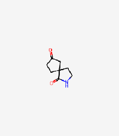 O=C1CCC2(CCNC2=O)C1